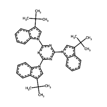 CC(C)(C)c1cn(-c2nc(-n3cc(C(C)(C)C)c4ccccc43)nc(-n3cc(C(C)(C)C)c4ccccc43)n2)c2ccccc12